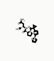 C#C[C@H](CC(N)=O)NC(=O)[C@@H]1CCCN1C(=O)C1(c2ccc(-n3cccn3)s2)CC1